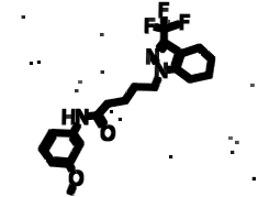 COc1cccc(NC(=O)CCCCn2nc(C(F)(F)F)c3c2CCCC3)c1